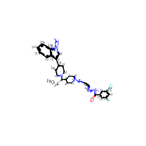 O=C(NN=CN1CCC(C(C(=O)O)N2CCC(c3c[nH]c4ccccc34)CC2)CC1)c1cc(F)cc(F)c1